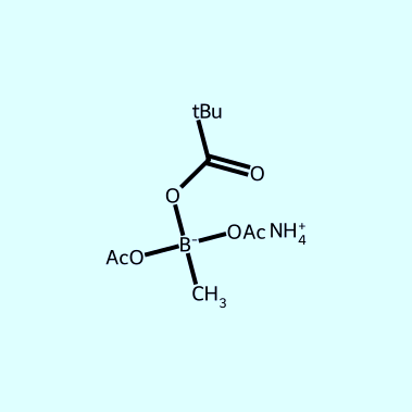 CC(=O)O[B-](C)(OC(C)=O)OC(=O)C(C)(C)C.[NH4+]